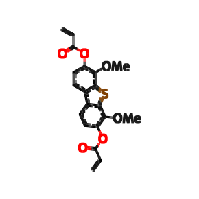 C=CC(=O)Oc1ccc2c(sc3c(OC)c(OC(=O)C=C)ccc32)c1OC